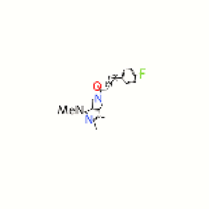 CNc1nc(C)c(C)c2c1CN(C(=O)C[C@@H]1C[C@H]1c1ccc(F)cc1)C2